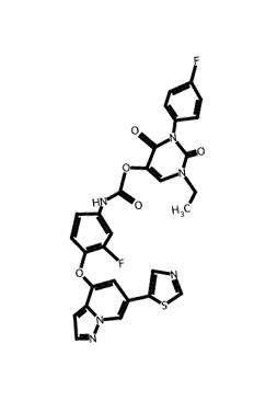 CCn1cc(OC(=O)Nc2ccc(Oc3cc(-c4cncs4)cn4nccc34)c(F)c2)c(=O)n(-c2ccc(F)cc2)c1=O